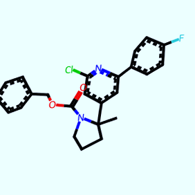 CC1(c2cc(Cl)nc(-c3ccc(F)cc3)c2)CCCN1C(=O)OCc1ccccc1